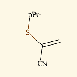 C=C(C#N)S[CH]CC